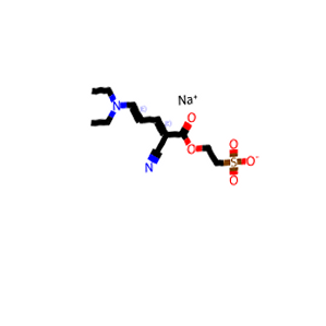 CCN(/C=C/C=C(\C#N)C(=O)OCCS(=O)(=O)[O-])CC.[Na+]